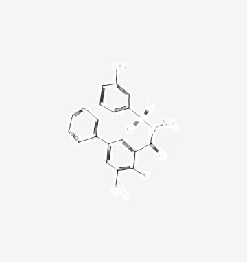 Cc1cc(-c2ccccc2)cc(C(=O)N(N)S(=O)(=O)c2cccc(O)c2)c1F